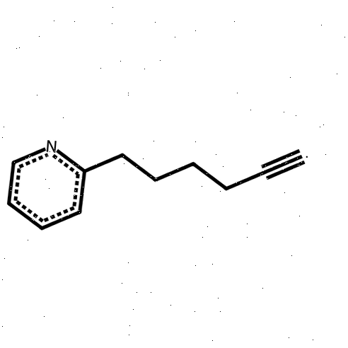 [C]#CCCCCc1ccccn1